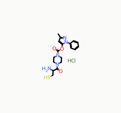 Cc1cc(OC(=O)N2CCN(C(=O)C(N)CS)CC2)n(-c2ccccc2)n1.Cl